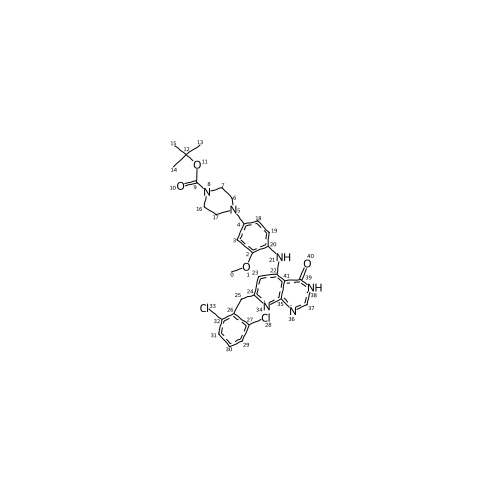 COc1cc(N2CCN(C(=O)OC(C)(C)C)CC2)ccc1Nc1cc(Cc2c(Cl)cccc2Cl)nc2nc[nH]c(=O)c12